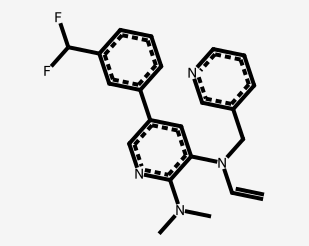 C=CN(Cc1cccnc1)c1cc(-c2cccc(C(F)F)c2)cnc1N(C)C